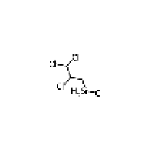 Cl[SiH2]CC(Cl)C(Cl)Cl